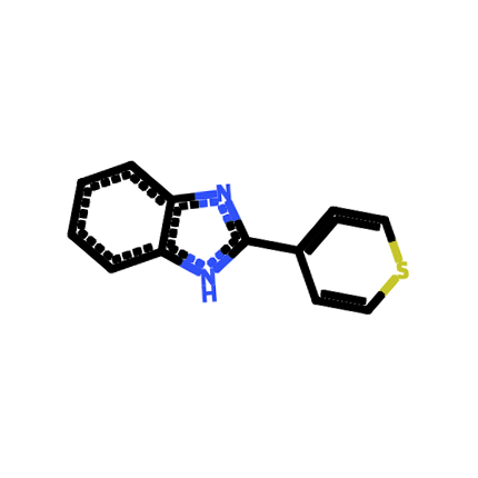 C1=CSC=CC=1c1nc2ccccc2[nH]1